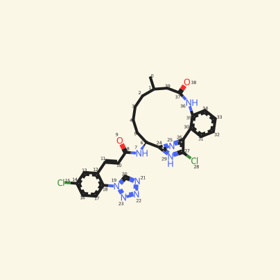 CC1CCCC[C@H](NC(=O)/C=C/c2cc(Cl)ccc2-n2cnnn2)c2nc(c(Cl)[nH]2)-c2ccccc2NC(=O)C1